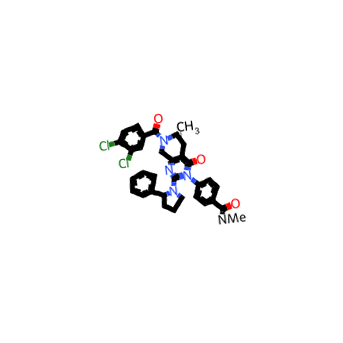 CNC(=O)c1ccc(-n2c(N3CCCC3c3ccccc3)nc3c(c2=O)C[C@@H](C)N(C(=O)c2ccc(Cl)c(Cl)c2)C3)cc1